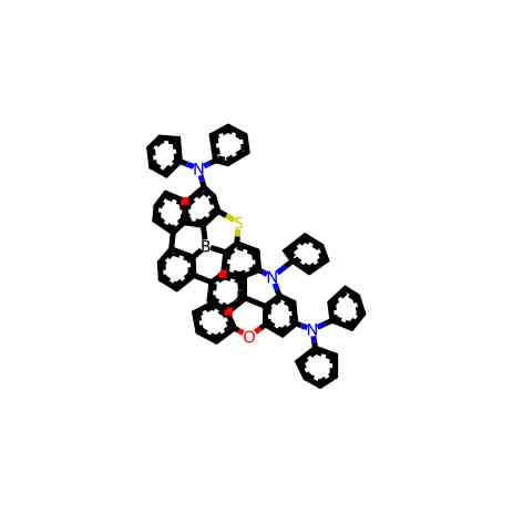 c1ccc(-c2cccc(-c3ccccc3)c2B2c3ccc(N(c4ccccc4)c4ccccc4)cc3Sc3cc4c(cc32)B2c3ccccc3Oc3cc(N(c5ccccc5)c5ccccc5)cc(c32)N4c2ccccc2)cc1